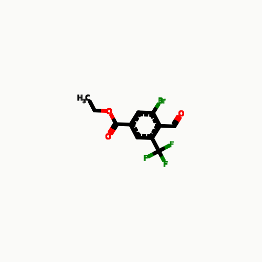 CCOC(=O)c1cc(Br)c(C=O)c(C(F)(F)F)c1